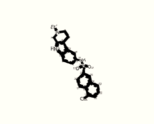 CCN1CCc2c([nH]c3ccc(NS(=O)(=O)c4ccc5c(Cl)cccc5c4)cc23)C1